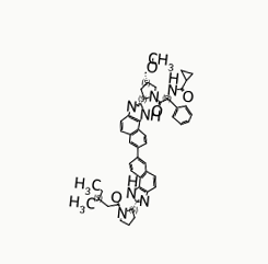 CC[C@H](C)CC(=O)N1CCC[C@H]1c1nc2ccc3cc(-c4ccc5c(ccc6nc([C@@H]7C[C@H](COC)CN7C(=O)[C@H](NC(=O)C7CC7)c7ccccc7)[nH]c65)c4)ccc3c2[nH]1